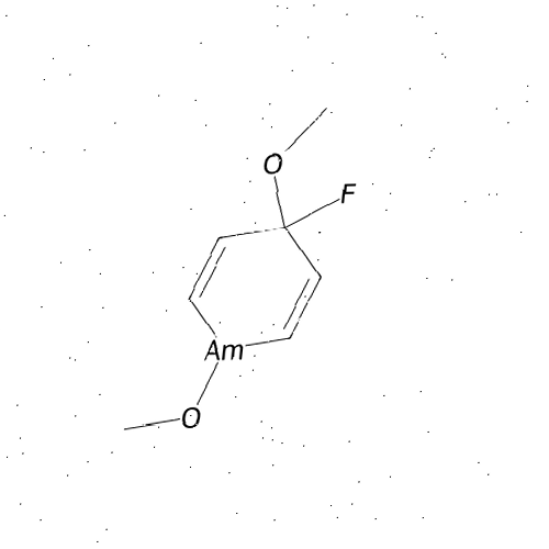 C[O][Am]1[CH]=CC(F)(OC)C=[CH]1